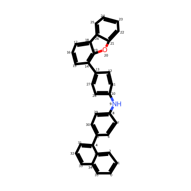 c1ccc2c(-c3ccc(Nc4ccc(-c5cccc6c5oc5ccccc56)cc4)cc3)cccc2c1